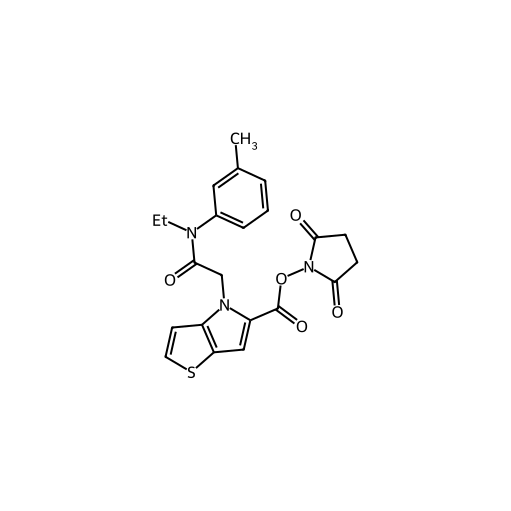 CCN(C(=O)Cn1c(C(=O)ON2C(=O)CCC2=O)cc2sccc21)c1cccc(C)c1